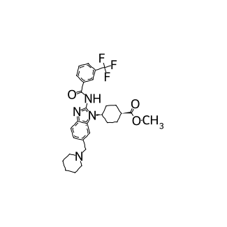 COC(=O)[C@H]1CC[C@@H](n2c(NC(=O)c3cccc(C(F)(F)F)c3)nc3ccc(CN4CCCCC4)cc32)CC1